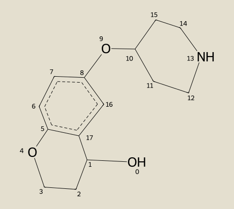 OC1CCOc2ccc(OC3CCNCC3)cc21